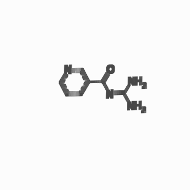 NC(N)=NC(=O)c1cccnc1